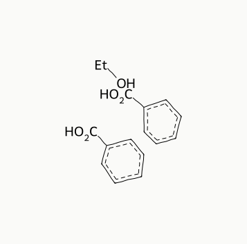 CCO.O=C(O)c1ccccc1.O=C(O)c1ccccc1